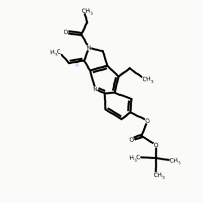 C/C=C1/c2nc3ccc(OC(=O)OC(C)(C)C)cc3c(CC)c2CN1C(=O)CC